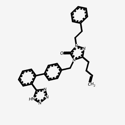 C=CCCc1nn(CCc2ccccc2)c(=O)n1Cc1ccc(-c2ccccc2-c2nnn[nH]2)cc1